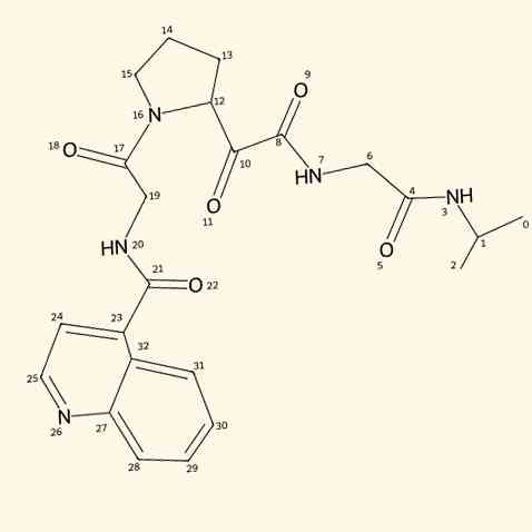 CC(C)NC(=O)CNC(=O)C(=O)C1CCCN1C(=O)CNC(=O)c1ccnc2ccccc12